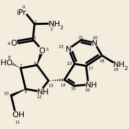 CC(C)C(N)C(=O)O[C@@H]1[C@@H](O)[C@H](CO)N[C@H]1c1c[nH]c2c(N)ncnc12